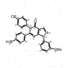 Bc1ccc(-c2nc3c(cnn3-c3cccc(SC)c3)c(=O)n2-c2ccc(Cl)cc2)cc1